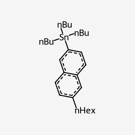 CCCCCCc1ccc2c[c]([Sn]([CH2]CCC)([CH2]CCC)[CH2]CCC)ccc2c1